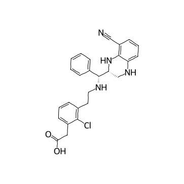 N#Cc1cccc2c1N[C@@H]([C@H](NCCc1cccc(CC(=O)O)c1Cl)c1ccccc1)CN2